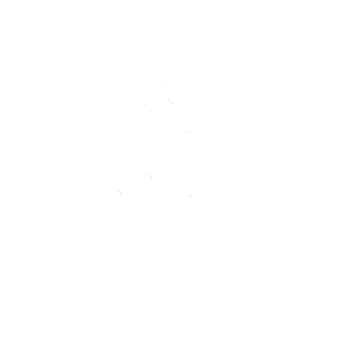 Cn1cncc1C(=NOCc1cccc(N2C(=O)c3ccccc3C2=O)n1)c1ccsc1